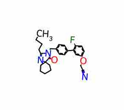 CCCCC1=NC2(CCCCC2)C(=O)N1Cc1ccc(-c2cc(OCC#N)ccc2F)cc1